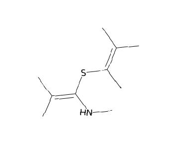 CNC(SC(C)=C(C)C)=C(C)C